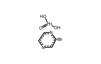 Br.O=[PH](O)O.c1cnccn1